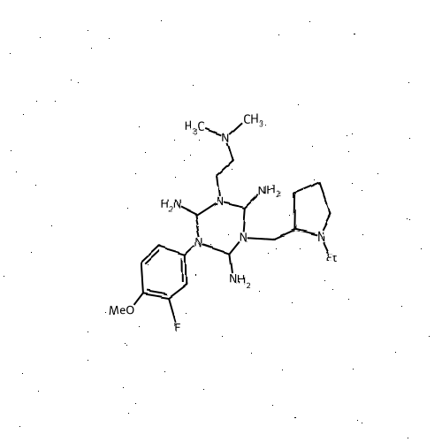 CCN1CCCC1CN1C(N)N(CCN(C)C)C(N)N(c2ccc(OC)c(F)c2)C1N